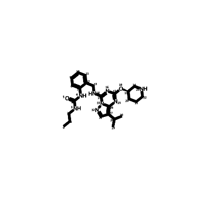 CCCNC(=O)Nc1ccccc1CNc1nc(O[C@@H]2CCCNC2)nc2c(C(C)C)cnn12